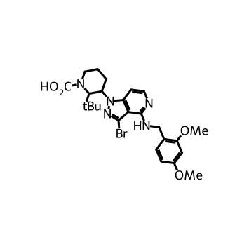 COc1ccc(CNc2nccc3c2c(Br)nn3C2CCCN(C(=O)O)C2C(C)(C)C)c(OC)c1